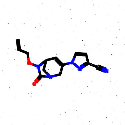 C=CCON1C(=O)N2CC(n3ccc(C#N)n3)=CC1C2